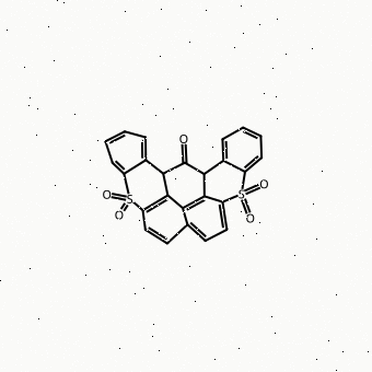 O=C1C2c3ccccc3S(=O)(=O)c3ccc4ccc5c(c4c32)C1c1ccccc1S5(=O)=O